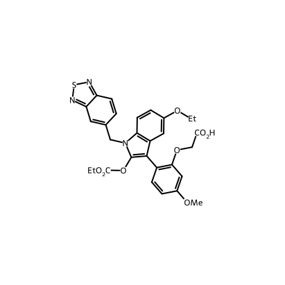 CCOC(=O)Oc1c(-c2ccc(OC)cc2OCC(=O)O)c2cc(OCC)ccc2n1Cc1ccc2nsnc2c1